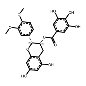 COc1ccc([C@H]2Oc3cc(O)cc(O)c3C[C@H]2OC(=O)c2cc(O)c(O)c(O)c2)cc1OC